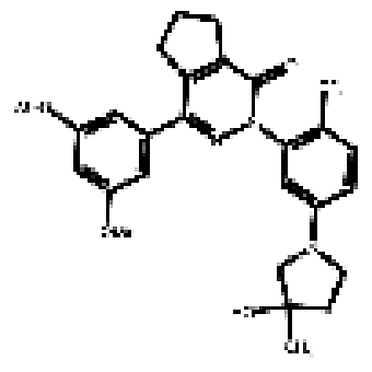 COc1cc(OC)cc(-c2nn(-c3cc(N4CCC(C)(O)C4)ccc3C(F)(F)F)c(=O)c3c2CCC3)c1